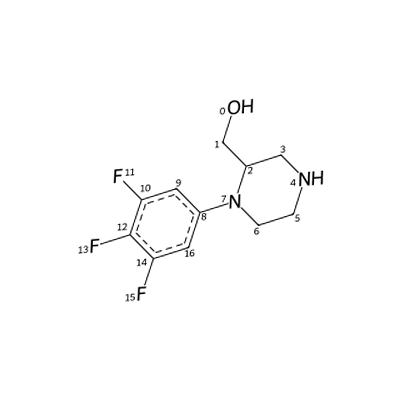 OCC1CNCCN1c1cc(F)c(F)c(F)c1